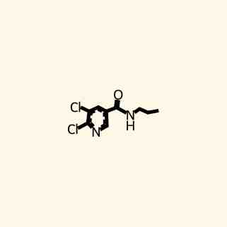 CCCNC(=O)c1cnc(Cl)c(Cl)c1